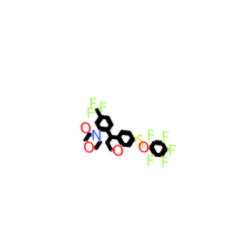 O=C1COCCN1c1cc(C(F)(F)F)ccc1C1CCOc2cc(SOc3c(F)c(F)c(F)c(F)c3F)ccc21